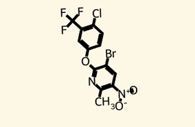 Cc1nc(Oc2ccc(Cl)c(C(F)(F)F)c2)c(Br)cc1[N+](=O)[O-]